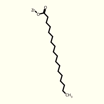 CCCCCCCCCCCCCCCCCC(=O)[O][Zr]